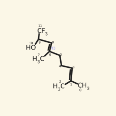 CC(C)=CCC/C(C)=C/C(O)C(F)(F)F